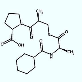 C[C@@H](CSC(=O)[C@@H](C)NC(=O)C1CCCCC1)C(=O)N1CCC[C@H]1C(=O)O